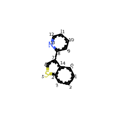 [c]1cccc2scc(-c3ccccn3)c12